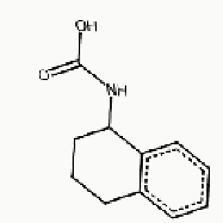 O=C(O)NC1CCCc2ccccc21